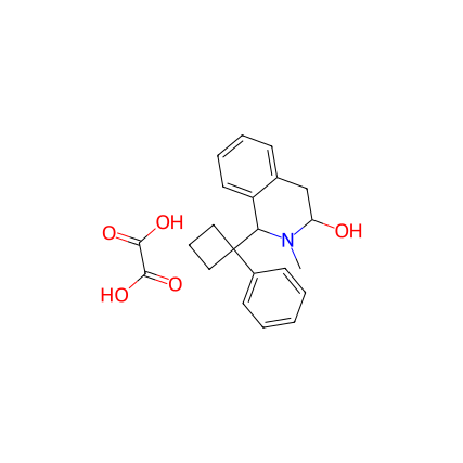 CN1C(O)Cc2ccccc2C1C1(c2ccccc2)CCC1.O=C(O)C(=O)O